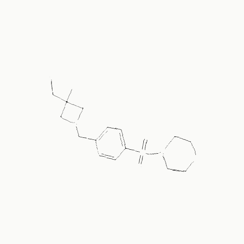 CCC1(I)CN(Cc2ccc(S(=O)(=O)N3CCOCC3)cc2)C1